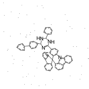 c1ccc(-c2ccc(C3N=C(c4ccc5c(c4)C4(c6ccccc6-c6ccccc64)c4cccc6c7ccccc7n-5c46)NC(c4ccccc4)N3)cc2)cc1